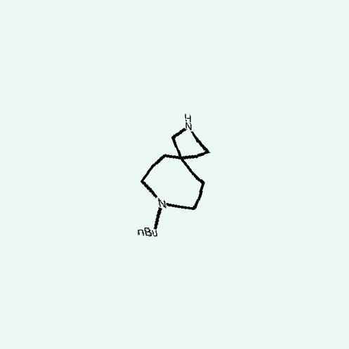 CCCCN1CCC2(CC1)CNC2